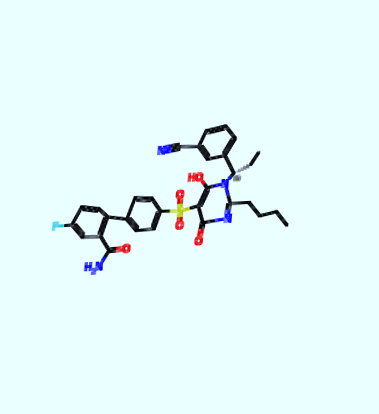 CCCCc1nc(=O)c(S(=O)(=O)c2ccc(-c3ccc(F)cc3C(N)=O)cc2)c(O)n1[C@@H](CC)c1cccc(C#N)c1